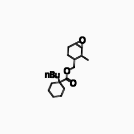 CCCCC1(C(=O)OCC2CCC3OC3C2C)CCCCC1